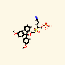 COc1ccc(C(OCCS(=O)(=O)C(CCC#N)COP(=O)(O)O)(c2ccccc2)c2ccc(OC)cc2)cc1